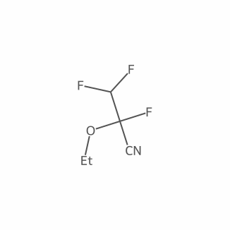 CCOC(F)(C#N)C(F)F